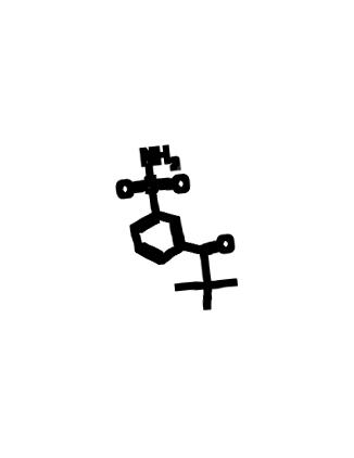 CC(C)(C)C(=O)c1cccc(S(N)(=O)=O)c1